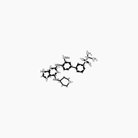 COc1cc(-c2cccc(S(=O)(=O)N(C)C)c2)ccc1Nc1nc(NC2CCOCC2)c2nc[nH]c2n1